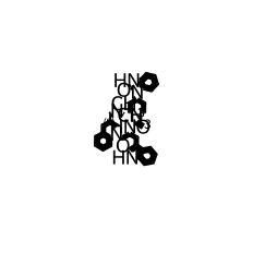 CN(C)C[C@@H]1Cc2ccccc2N(C(=O)C(Cc2c[nH]c3ccccc23)NC(=O)N2CCC(n3c(=O)[nH]c4ccccc43)CC2)C1